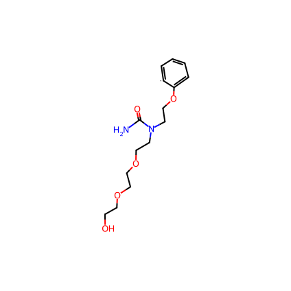 NC(=O)N(CCOCCOCCO)CCOc1[c]cccc1